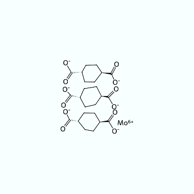 O=C([O-])[C@H]1CC[C@H](C(=O)[O-])CC1.O=C([O-])[C@H]1CC[C@H](C(=O)[O-])CC1.O=C([O-])[C@H]1CC[C@H](C(=O)[O-])CC1.[Mo+6]